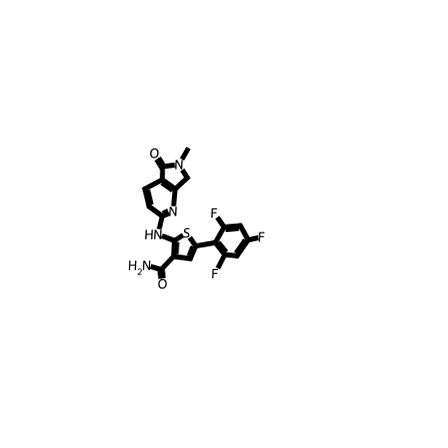 CN1Cc2nc(Nc3sc(-c4c(F)cc(F)cc4F)cc3C(N)=O)ccc2C1=O